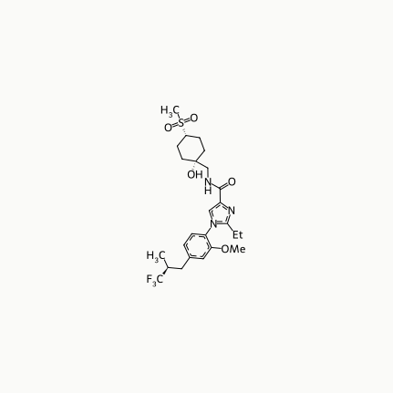 CCc1nc(C(=O)NC[C@]2(O)CC[C@@H](S(C)(=O)=O)CC2)cn1-c1ccc(C[C@H](C)C(F)(F)F)cc1OC